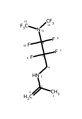 C=C(C)NCC(F)(F)C(F)(F)N(C(F)(F)F)C(F)(F)F